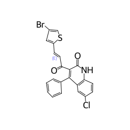 O=C(/C=C/c1cc(Br)cs1)c1c(-c2ccccc2)c2cc(Cl)ccc2[nH]c1=O